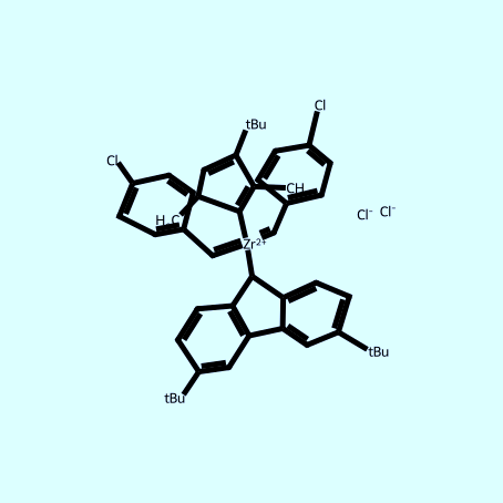 CC1=[C]([Zr+2](=[CH]c2ccc(Cl)cc2)(=[CH]c2ccc(Cl)cc2)[CH]2c3ccc(C(C)(C)C)cc3-c3cc(C(C)(C)C)ccc32)C(C)C=C1C(C)(C)C.[Cl-].[Cl-]